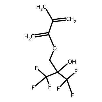 C=C(C)C(=C)OCC(O)(C(F)(F)F)C(F)(F)F